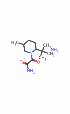 CC1CCC(C(C)(C)C)N(C(=O)C(N)=O)C1.N